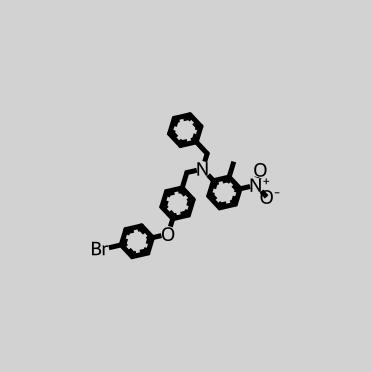 Cc1c(N(Cc2ccccc2)Cc2ccc(Oc3ccc(Br)cc3)cc2)cccc1[N+](=O)[O-]